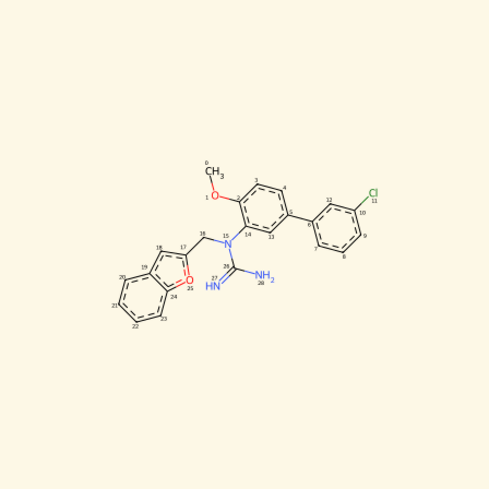 COc1ccc(-c2cccc(Cl)c2)cc1N(Cc1cc2ccccc2o1)C(=N)N